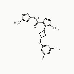 Cn1cc(NC(=O)c2cnn(C)c2N2CC(Oc3cc(F)cc(C(F)(F)F)c3)C2)cn1